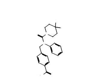 COC(=O)c1ccc(CN(C(=O)N2CCC(F)(F)CC2)c2ccccc2)cc1